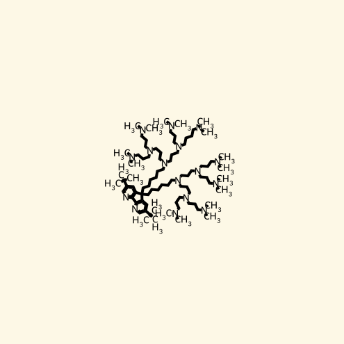 CN(C)CCCCN(CCCN(C)C)CCCN(CCCCCCC1(CCCCCCN(CCCN(CCCN(C)C)CCCN(C)C)CCCN(CCCN(C)C)CCCN(C)C)c2cc(C(C)(C)C)cnc2-c2ncc(C(C)(C)C)cc21)CCCN(CCCN(C)C)CCCN(C)C